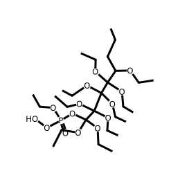 CCCC(OCC)C(OCC)(OCC)C(OCC)(OCC)C(OCC)(OCC)C(OCC)(OCC)OP(=O)(OO)OCC